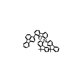 CC1(C)c2ccccc2-c2ccc(N(c3cccc4c3-c3ccccc3C4(C)C)c3cccc4c3oc3c(-c5ccc6c7c(cccc57)-c5ccccc5-6)cccc34)cc21